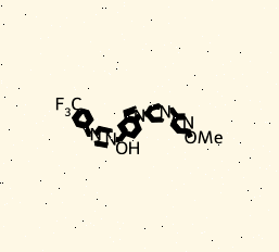 COc1ccc(CN2CCC(n3ccc4cc(C(O)N5CCN(Cc6ccc(C(F)(F)F)cc6)CC5)ccc43)CC2)cn1